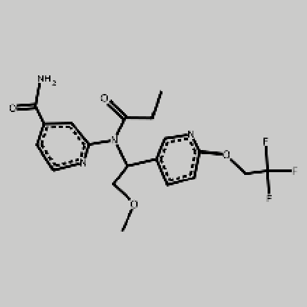 CCC(=O)N(c1cc(C(N)=O)ccn1)C(COC)c1ccc(OCC(F)(F)F)nc1